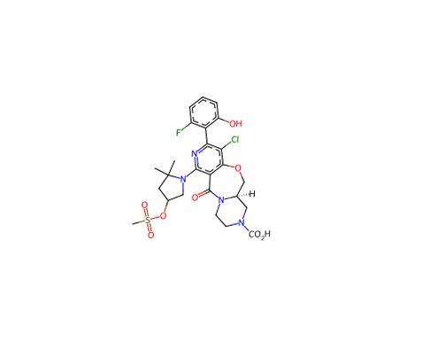 CC1(C)CC(OS(C)(=O)=O)CN1c1nc(-c2c(O)cccc2F)c(Cl)c2c1C(=O)N1CCN(C(=O)O)C[C@@H]1CO2